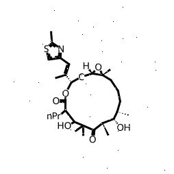 CCCC1C(=O)O[C@H](/C(C)=C/c2csc(C)n2)C[C@@H]2O[C@]2(C)CCC[C@H](C)[C@H](O)[C@@H](C)C(=O)C(C)(C)C1O